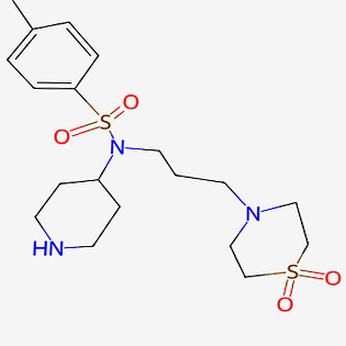 Cc1ccc(S(=O)(=O)N(CCCN2CCS(=O)(=O)CC2)C2CCNCC2)cc1